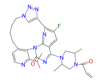 C=CC(=O)N1CC(C)N(c2nc(=O)n3c4nc(c(F)cc24)-c2cn(nn2)CCCCc2ccnc(C(C)C)c2-3)CC1C